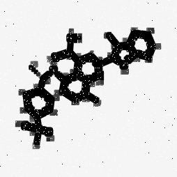 Cc1c(-c2cc(C(=O)O)c3c(O[C@@H](C)c4ccc(S(C)(=O)=O)cc4)ccc(C)c3n2)oc2ccccc12